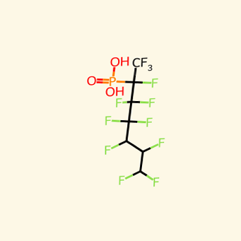 O=P(O)(O)C(F)(C(F)(F)F)C(F)(F)C(F)(F)C(F)C(F)C(F)F